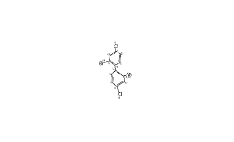 Clc1ccc(-c2ccc(Cl)cc2Br)c(Br)c1